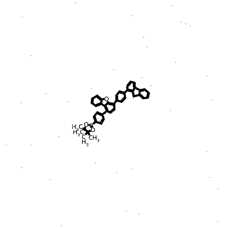 CC1(C)OB(c2ccc(-c3ccc(-c4ccc(-c5cccc6c5Cc5ccccc5-6)cc4)c4oc5ccccc5c34)cc2)OC1(C)C